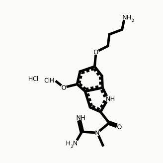 COc1cc(OCCCN)cc2[nH]c(C(=O)N(C)C(=N)N)cc12.Cl.Cl